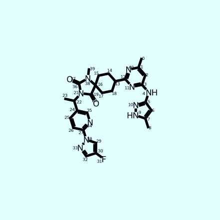 Cc1cc(Nc2cc(C)[nH]n2)nc(C2CCC3(CC2)C(=O)N(C(C)c2ccc(-n4cc(F)cn4)nc2)C(=O)N3C)n1